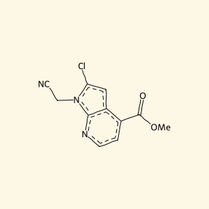 COC(=O)c1ccnc2c1cc(Cl)n2CC#N